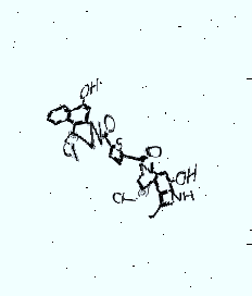 Cc1c[nH]c2c(O)cc3c(c12)[C@H](CCl)CN3C(=O)c1ccc(C(=O)N2C[C@@H](CCl)c3c2cc(O)c2ccccc32)s1